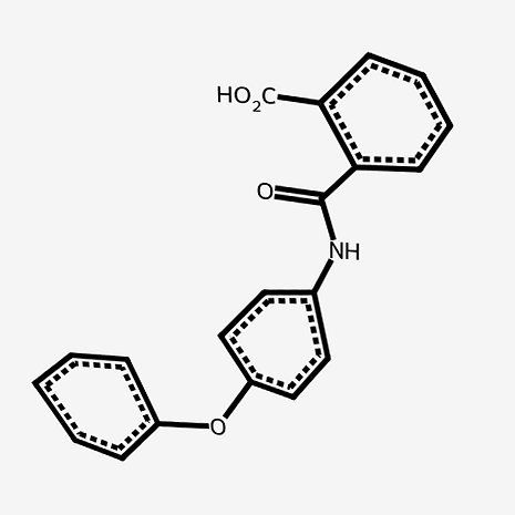 O=C(O)c1ccccc1C(=O)Nc1ccc(Oc2ccccc2)cc1